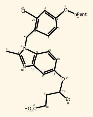 CCCCCOc1ccc(Cn2c(C)nc3cc(OC(CC)CCC(=O)O)ccc32)c(Cl)c1